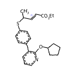 CCOC(=O)/C=C/C(C)Sc1ccc(-c2cccnc2OC2CCCC2)cc1